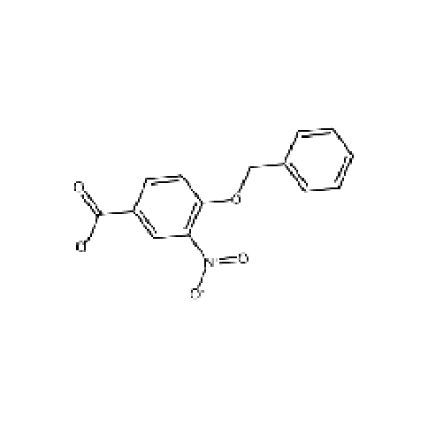 O=C(Cl)c1ccc(OCc2ccccc2)c([N+](=O)[O-])c1